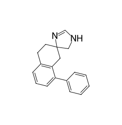 C1=NC2(CCc3cccc(-c4ccccc4)c3C2)CN1